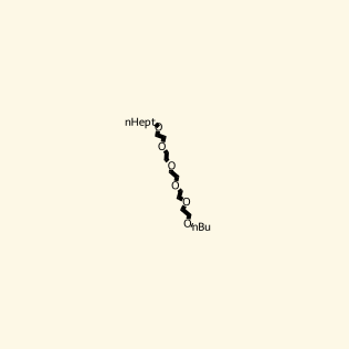 CCCCCCCOCCOCCOCCOCCOCCOCCCC